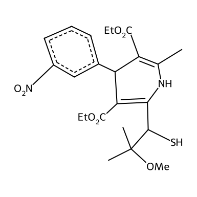 CCOC(=O)C1=C(C)NC(C(S)C(C)(C)OC)=C(C(=O)OCC)C1c1cccc([N+](=O)[O-])c1